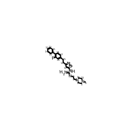 CN1CCN(CCN=C(N)Nc2cc(CCc3ccc(-c4ccccc4)c(F)c3)no2)CC1